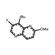 COc1ccc2ncc(F)c(C(C)(C)C)c2n1